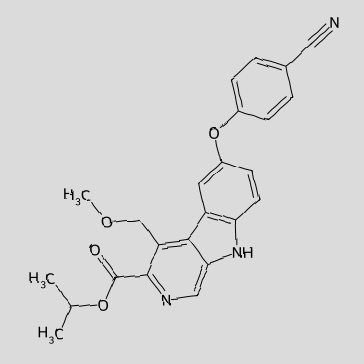 COCc1c(C(=O)OC(C)C)ncc2[nH]c3ccc(Oc4ccc(C#N)cc4)cc3c12